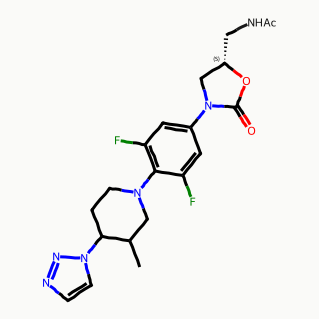 CC(=O)NC[C@H]1CN(c2cc(F)c(N3CCC(n4ccnn4)C(C)C3)c(F)c2)C(=O)O1